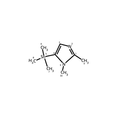 Cc1nc[c]([Sn]([CH3])([CH3])[CH3])n1C